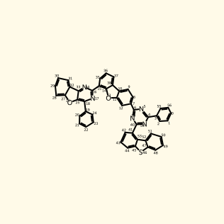 c1ccc(-c2nc(-c3ccc4c(c3)oc3c(-c5nc(-c6ccccc6)c6oc7ccccc7c6n5)cccc34)nc(-c3cccc4sc5ccccc5c34)n2)cc1